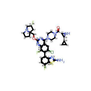 Nc1nc2c(-c3c(Cl)cc4c(N5CCN(C(=O)[C@@H]6N[C@H]6C6CC6)CC5)nc(OCC56CCCN5C[C@H](F)C6)nc4c3F)ccc(F)c2s1